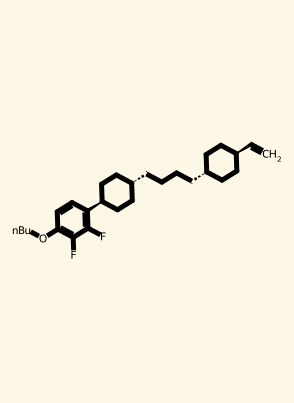 C=C[C@H]1CC[C@H]([CH]CC[CH][C@H]2CC[C@H](c3ccc(OCCCC)c(F)c3F)CC2)CC1